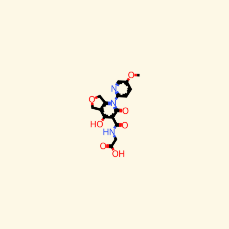 COc1ccc(-n2c3c(c(O)c(C(=O)NCC(=O)O)c2=O)COC3)nc1